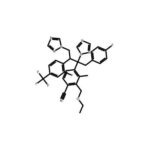 CCOCc1c(C#N)ccc(C(Cc2ccc(F)cc2)(C(Cn2cncn2)c2ccc(C(F)(F)F)cc2F)n2cncn2)c1C